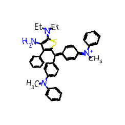 CCN(CC)c1sc(C(=C2C=CC(=[N+](C)c3ccccc3)C=C2)c2ccc(N(C)c3ccccc3)cc2)c(-c2ccccc2)c1N